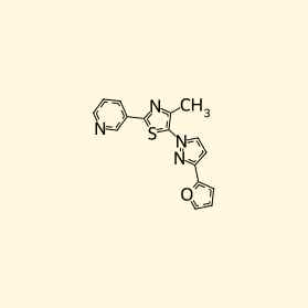 Cc1nc(-c2cccnc2)sc1-n1ccc(-c2ccco2)n1